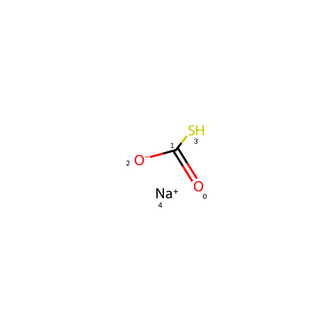 O=C([O-])S.[Na+]